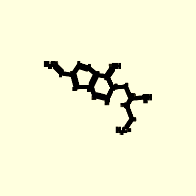 C=Cc1ccc2c(=N)n(CC(O)OCC)ncc2c1